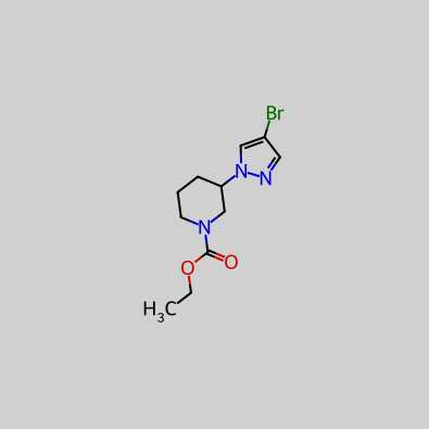 CCOC(=O)N1CCCC(n2cc(Br)cn2)C1